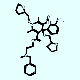 CC1=C([PH2]=O)C(OCC2CCCO2)(c2cccc([N+](=O)[O-])c2)C(C(=O)OCCN(C)Cc2ccccc2)=C(C)N1OCC1CCCO1